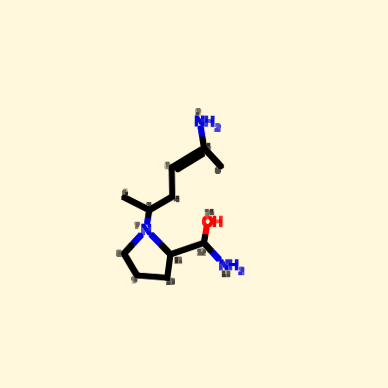 C/C(N)=C\CC(C)N1CCCC1C(N)O